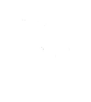 O=C(O)Oc1cn(-c2ccc(F)cc2F)c2c(F)c(F)ccc2c1=O